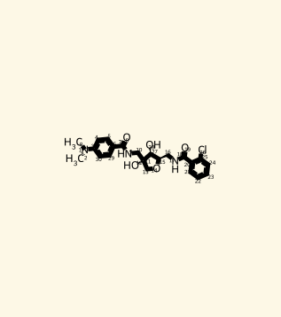 CN(C)c1ccc(C(=O)NC[C@]2(O)CO[C@H](CNC(=O)c3ccccc3Cl)[C@H]2O)cc1